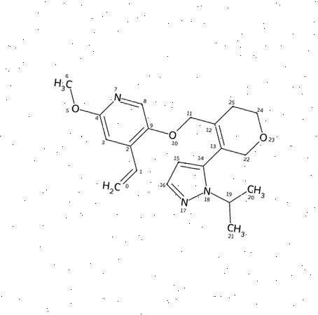 C=Cc1cc(OC)ncc1OCC1=C(c2ccnn2C(C)C)COCC1